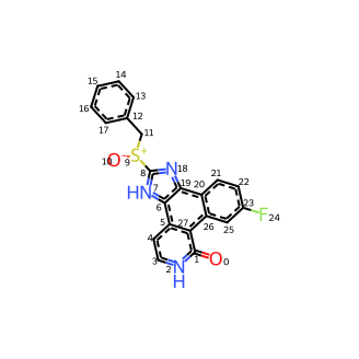 O=c1[nH]ccc2c3[nH]c([S+]([O-])Cc4ccccc4)nc3c3ccc(F)cc3c12